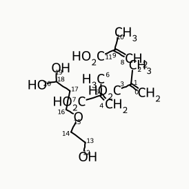 C=C(C)C(=O)O.C=C(C)C(=O)O.C=C(C)C(=O)O.OCCOCCC(O)O